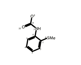 CSc1ccccc1NC([O])=O